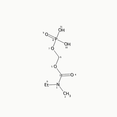 CCN(C)C(=O)OCOP(=O)(O)O